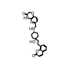 O=C1COc2ccc(CN[C@H]3CC[C@@](O)(CCc4cccc5ccc(=O)oc45)CC3)nc2N1